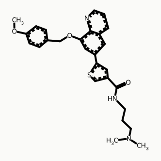 COc1ccc(COc2cc(-c3cc(C(=O)NCCCN(C)C)cs3)cc3cccnc23)cc1